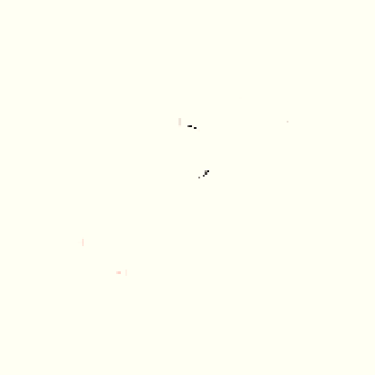 CC(=O)C1=CC[C@H]2[C@@H]3CC[C@@H]4CC(O)(O)CC[C@]4(C)[C@H]3CC[C@]12C